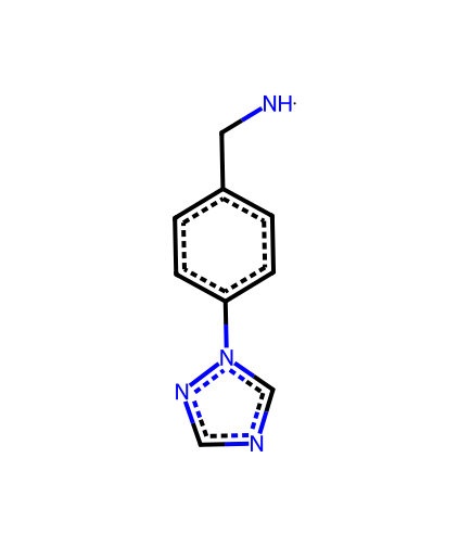 [NH]Cc1ccc(-n2cncn2)cc1